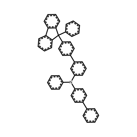 c1ccc(-c2ccc(N(c3ccccc3)c3cccc(-c4ccc(C5(c6ccccc6)c6ccccc6-c6ccccc65)cc4)c3)cc2)cc1